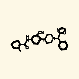 Cc1ccccc1C(=O)Nc1ccc(N2CCN(C(c3ccccc3)c3ncco3)CC2)c(C#N)c1